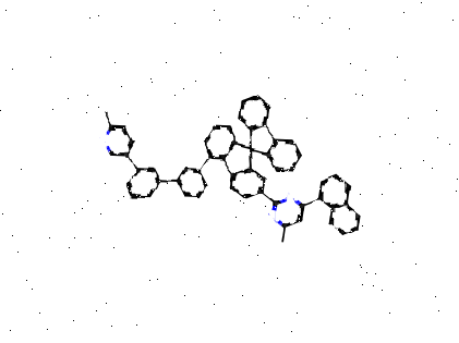 Cc1ccc(-c2cccc(-c3cccc(-c4cccc5c4-c4ccc(-c6nc(C)cc(-c7cccc8ccccc78)n6)cc4C54c5ccccc5-c5ccccc54)c3)c2)cn1